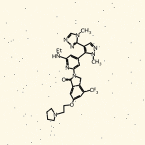 CCNc1cc(-c2c(-c3nncn3C)cnn2C)cc(N2Cc3c(cc(OCCN4CCCC4)cc3C(F)(F)F)C2=O)n1